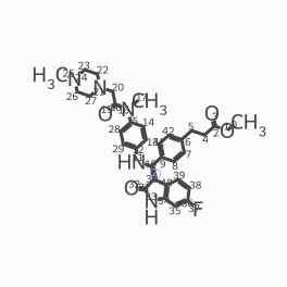 COC(=O)CCc1ccc(/C(Nc2ccc(N(C)C(=O)CN3CCN(C)CC3)cc2)=C2/C(=O)Nc3cc(F)ccc32)cc1